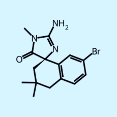 CN1C(=O)[C@]2(CC(C)(C)Cc3ccc(Br)cc32)N=C1N